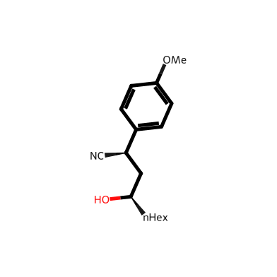 CCCCCC[C@@H](O)C[C@@H](C#N)c1ccc(OC)cc1